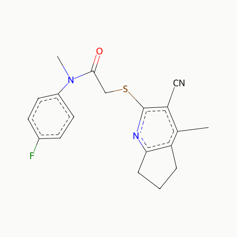 Cc1c(C#N)c(SCC(=O)N(C)c2ccc(F)cc2)nc2c1CCC2